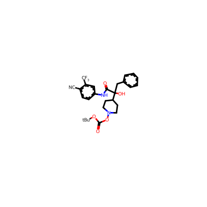 CC(C)(C)OC(=O)ON1CCC(C(O)(Cc2ccccc2)C(=O)Nc2ccc(C#N)c(C(F)(F)F)c2)CC1